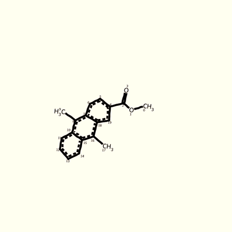 COC(=O)c1ccc2c(C)c3ccccc3c(C)c2c1